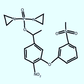 CC(OP(=O)(N1CC1)N1CC1)c1ccc([N+](=O)[O-])c(Oc2cccc(S(C)(=O)=O)c2)c1